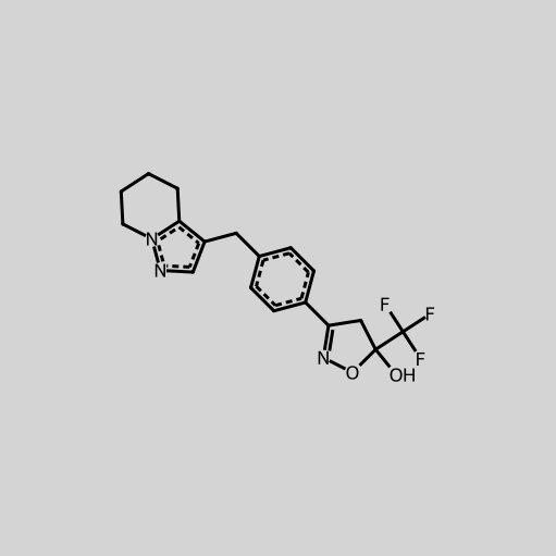 OC1(C(F)(F)F)CC(c2ccc(Cc3cnn4c3CCCC4)cc2)=NO1